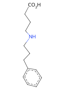 O=C(O)CCCNCCCc1ccccc1